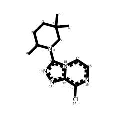 CC1CCC(C)(C)CN1c1nnc2c(Cl)nccn12